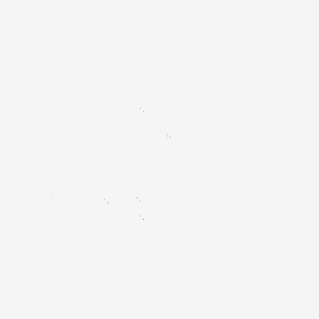 CC(N)c1cccc(-c2cc(OCCCO)c3cnn(-c4cccc(CO)n4)c3c2)n1